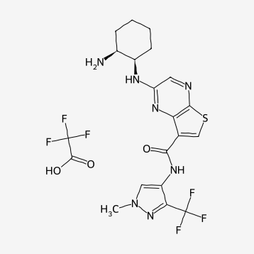 Cn1cc(NC(=O)c2csc3ncc(N[C@@H]4CCCC[C@@H]4N)nc23)c(C(F)(F)F)n1.O=C(O)C(F)(F)F